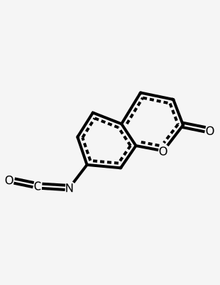 O=C=Nc1ccc2ccc(=O)oc2c1